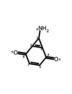 NC1C2=C1C(=O)C=CC2=O